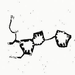 CSc1nc2cc(-c3cccnc3)ccc2n1C(=O)NCC(C)C